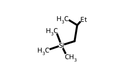 CCC(C)C[Si](C)(C)C